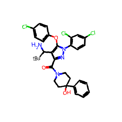 CC(C)(C)C(N)c1c(C(=O)N2CCC(O)(c3ccccc3)CC2)nn(-c2ccc(Cl)cc2Cl)c1Oc1ccc(Cl)cc1